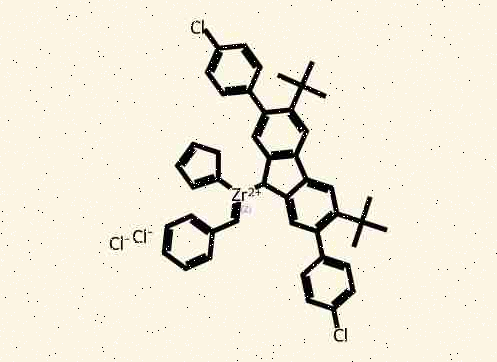 CC(C)(C)c1cc2c(cc1-c1ccc(Cl)cc1)[CH](/[Zr+2](=[CH]/c1ccccc1)[C]1=CC=CC1)c1cc(-c3ccc(Cl)cc3)c(C(C)(C)C)cc1-2.[Cl-].[Cl-]